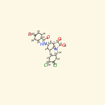 O=C(Nc1ccc2c(c1)C(=O)C(=O)N2Cc1ccc(Cl)c(Cl)c1)c1ccc(Br)cc1